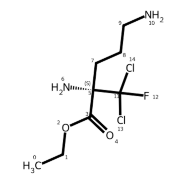 CCOC(=O)[C@@](N)(CCCN)C(F)(Cl)Cl